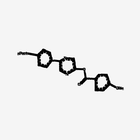 CCCCCc1ccc(-c2cnc(OC(=O)c3ccc(OC)cc3)cn2)cc1